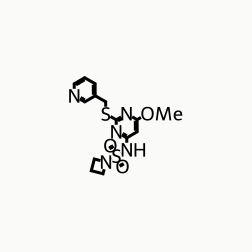 COc1cc(NS(=O)(=O)N2CCC2)nc(SCc2cccnc2)n1